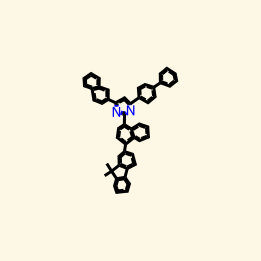 CC1(C)c2ccccc2-c2ccc(-c3ccc(-c4nc(-c5ccc(-c6ccccc6)cc5)cc(-c5ccc6ccccc6c5)n4)c4ccccc34)cc21